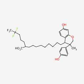 CC1(c2ccc(O)cc2)COc2cc(O)ccc2C1CCCCCCCCCC(CCCC(F)(F)C(F)(F)F)C(=O)O